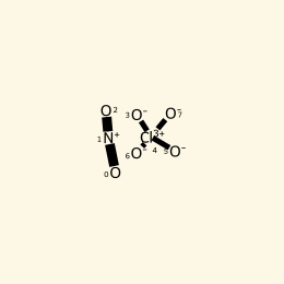 O=[N+]=O.[O-][Cl+3]([O-])([O-])[O-]